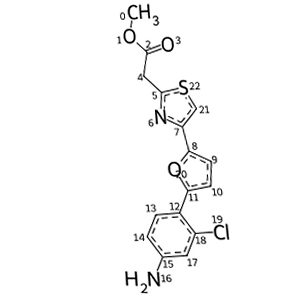 COC(=O)Cc1nc(-c2ccc(-c3ccc(N)cc3Cl)o2)cs1